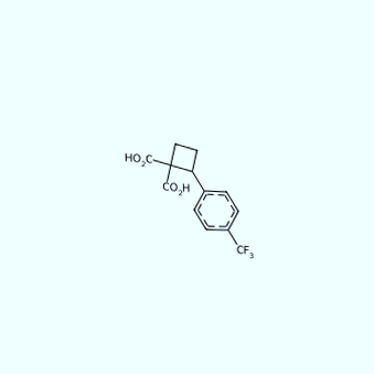 O=C(O)C1(C(=O)O)CCC1c1ccc(C(F)(F)F)cc1